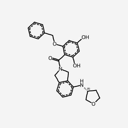 O=C(c1c(O)cc(O)cc1OCc1ccccc1)N1Cc2cccc(N[C@@H]3CCOC3)c2C1